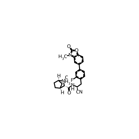 CN1[C@@H]2CC[C@@H](C2)[C@H]1C(=O)N[C@H](C#N)Cc1ccc(-c2ccc3oc(=O)n(C)c3c2)cc1F